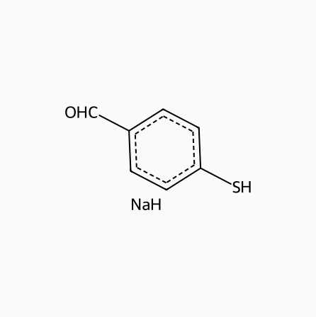 O=Cc1ccc(S)cc1.[NaH]